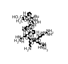 CC[C@H](C)[C@H](NC(=O)[C@H](CO)NC(=O)[C@H](Cc1c[nH]cn1)NC(=O)[C@@H]1CCCN1C(=O)[C@H](CCCNC(=N)N)NC(=O)[C@H](CCCCN)NC(=O)[C@H](CCCNC(=N)N)NC(=O)[C@@H](N)CCCNC(=N)N)C(=O)N1CCC[C@H]1C(=O)N[C@H](C(=O)O)[C@@H](C)O